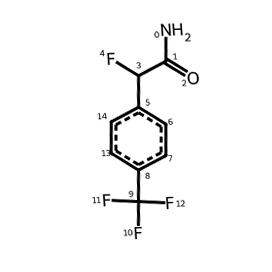 NC(=O)C(F)c1ccc(C(F)(F)F)cc1